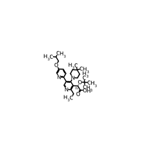 CCc1ncc(-c2ccc(OCC(C)C)cn2)c(N2CCC(C)(C)CC2)c1[C@H](OC(C)(C)C)C(=O)O